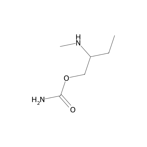 CCC(COC(N)=O)NC